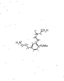 COc1ccc(SOON)cc1/N=N/N(C)CC(=O)O